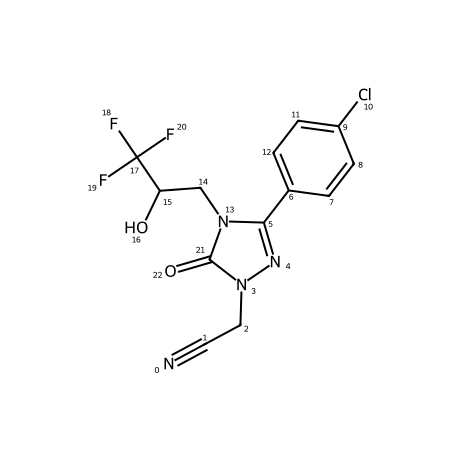 N#CCn1nc(-c2ccc(Cl)cc2)n(CC(O)C(F)(F)F)c1=O